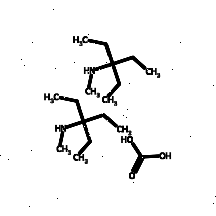 CCC(CC)(CC)NC.CCC(CC)(CC)NC.O=C(O)O